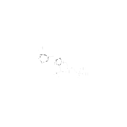 COc1cc(Cc2cn(COCC[Si](C)(C)C)c(C(O)C(F)(F)F)n2)ccn1